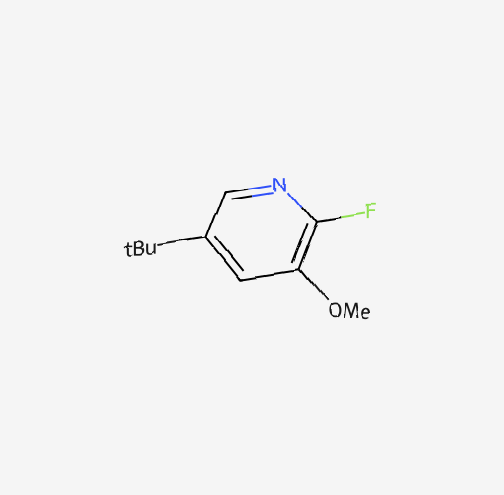 COc1cc(C(C)(C)C)cnc1F